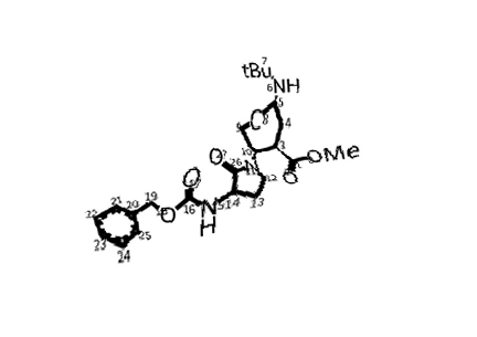 COC(=O)[C@@H]1C[C@@H](NC(C)(C)C)CC[C@@H]1N1CCC(NC(=O)OCc2ccccc2)C1=O